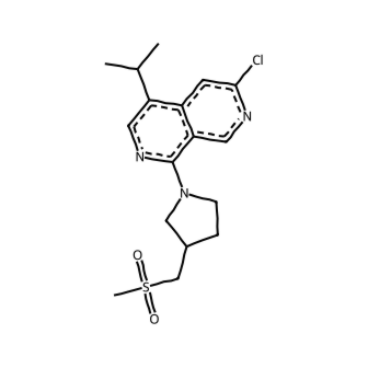 CC(C)c1cnc(N2CCC(CS(C)(=O)=O)C2)c2cnc(Cl)cc12